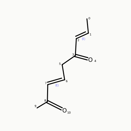 C/C=C/C(=O)C/C=C/C(C)=O